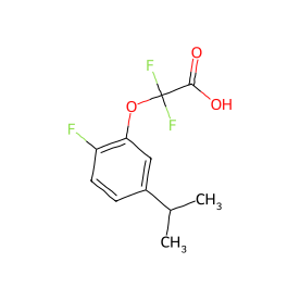 CC(C)c1ccc(F)c(OC(F)(F)C(=O)O)c1